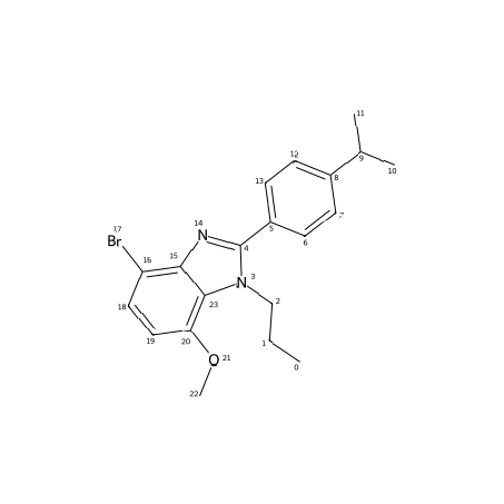 CCCn1c(-c2ccc(C(C)C)cc2)nc2c(Br)ccc(OC)c21